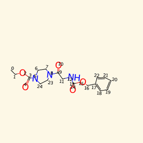 CCOC(=O)N1CCN(C(=O)CNC(=O)OCc2ccccc2)CC1